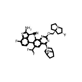 N#Cc1c(N)sc2c(F)ccc(-c3c(C(F)F)cc4c(N5CC6CCC(C5)N6)nc(OC[C@@]56CCCN5C[C@H](F)C6)nc4c3F)c12